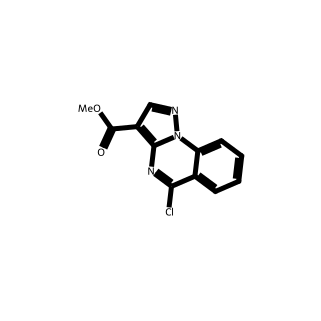 COC(=O)c1cnn2c1nc(Cl)c1ccccc12